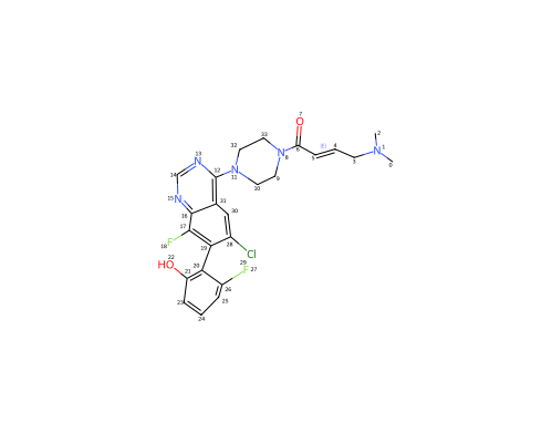 CN(C)C/C=C/C(=O)N1CCN(c2ncnc3c(F)c(-c4c(O)cccc4F)c(Cl)cc23)CC1